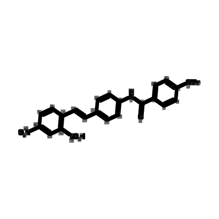 COc1ccc(C(=O)Nc2ccc(/C=C/c3ccc([N+](=O)[O-])cc3S(=O)(=O)O)cc2)cc1